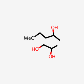 CC(O)CO.COCCC(C)O